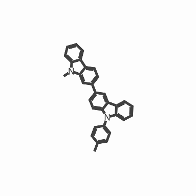 Cc1ccc(-n2c3ccccc3c3cc(-c4ccc5c6ccccc6n(C)c5c4)ccc32)cc1